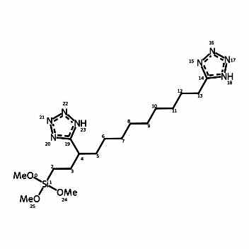 CO[Si](CCC(CCCCCCCCCc1nnn[nH]1)c1nnn[nH]1)(OC)OC